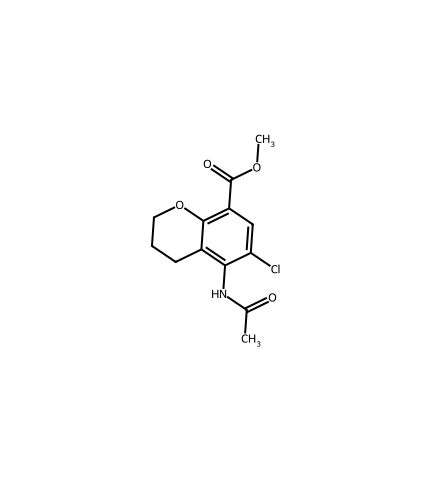 COC(=O)c1cc(Cl)c(NC(C)=O)c2c1OCCC2